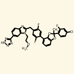 COCCn1c(Cc2cc(F)c(-c3cccc4c3OC(C)(c3ccc(Cl)cc3F)O4)cc2F)nc2ccc(-c3nn[nH]n3)cc21